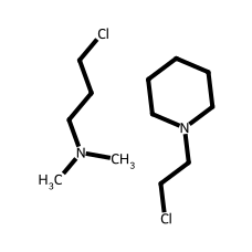 CN(C)CCCCl.ClCCN1CCCCC1